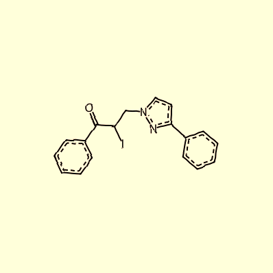 O=C(c1ccccc1)C(I)Cn1ccc(-c2ccccc2)n1